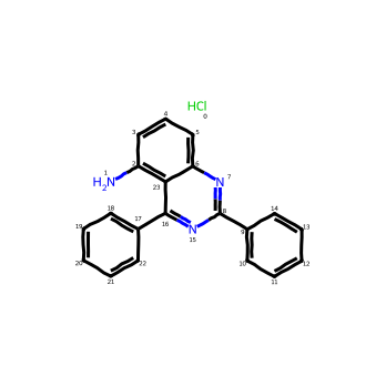 Cl.Nc1cccc2nc(-c3ccccc3)nc(-c3ccccc3)c12